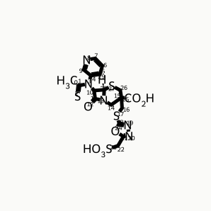 CC(=S)N(c1cccnc1)C1C(=O)N2CC(CSc3nnc(CS(=O)(=O)O)o3)(C(=O)O)CS[C@H]12